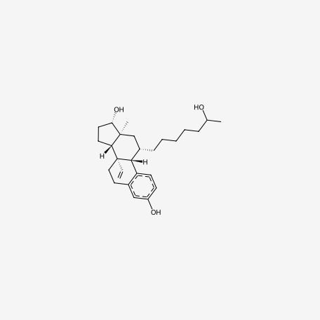 C=C[C@@]12CCc3cc(O)ccc3[C@H]1[C@@H](CCCCCC(C)O)C[C@@]1(C)[C@H]2CC[C@@H]1O